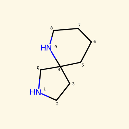 [CH]1NCCC12CCCCN2